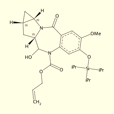 C=CCOC(=O)N1c2cc(O[Si](C(C)C)(C(C)C)C(C)C)c(OC)cc2C(=O)N2[C@@H](C[C@@H]3C[C@@H]32)C1O